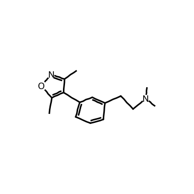 Cc1noc(C)c1-c1cccc(CCN(C)C)c1